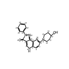 O=c1c2c[nH]c3ccc(N4CCC(O)CC4)nc3c-2nn1-c1ccccc1